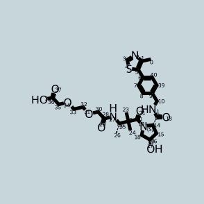 Cc1ncsc1-c1ccc(CNC(=O)[C@@H]2C[C@@H](O)CN2C(=O)C(C)(C)[C@H](C)NC(=O)COCCOCC(=O)O)cc1